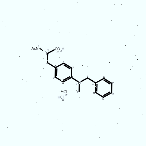 CC(=O)N[C@@H](Cc1ccc(N(C)Cc2ccccc2)cc1)C(=O)O.Cl.Cl